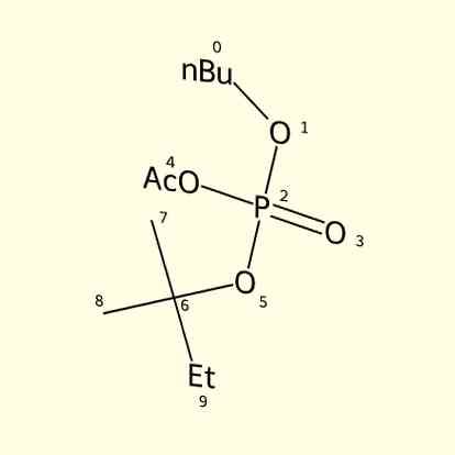 CCCCOP(=O)(OC(C)=O)OC(C)(C)CC